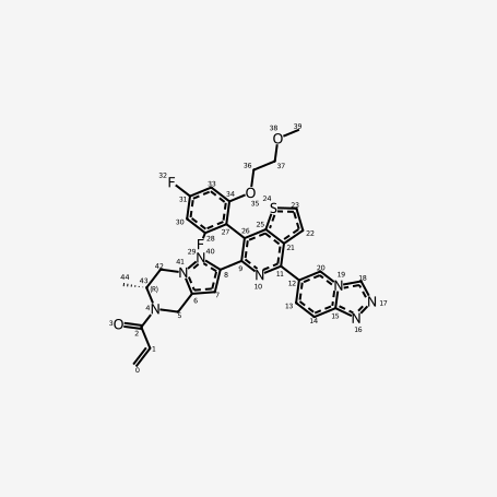 C=CC(=O)N1Cc2cc(-c3nc(-c4ccc5nncn5c4)c4ccsc4c3-c3c(F)cc(F)cc3OCCOC)nn2C[C@H]1C